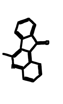 Cc1nc2ccccc2c2c1-c1ccccc1C2=O